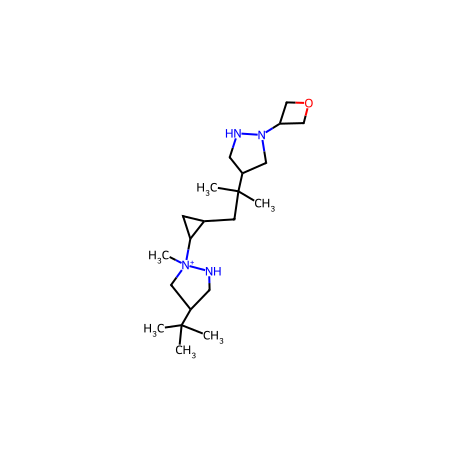 CC(C)(C)C1CN[N+](C)(C2CC2CC(C)(C)C2CNN(C3COC3)C2)C1